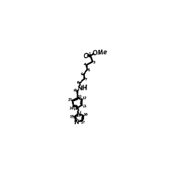 COC(=O)CCCCCCNCc1ccc(-n2ccnc2)cc1